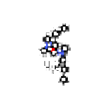 CC1(C)c2cc(-c3ccccc3)ccc2-c2ccc(N(c3ccccc3)c3ccc(-c4ccccc4-n4c5ccccc5c5c(-c6ccc(-c7ccccc7)cc6)cccc54)cc3)cc21